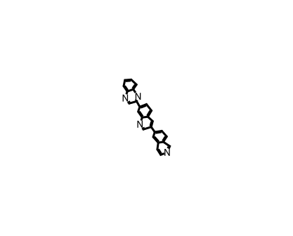 c1ccc2nc(-c3ccc4cc(-c5ccc6cnccc6c5)cnc4c3)cnc2c1